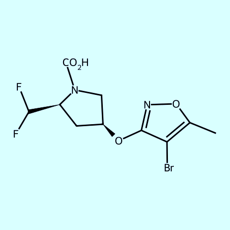 Cc1onc(O[C@H]2C[C@@H](C(F)F)N(C(=O)O)C2)c1Br